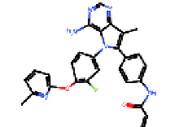 C=CC(=O)Nc1ccc(-c2c(C)c3ncnc(N)c3n2-c2ccc(Oc3cccc(C)n3)c(F)c2)cc1